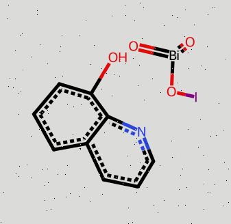 Oc1cccc2cccnc12.[O]=[Bi](=[O])[O]I